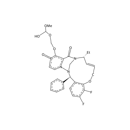 CC[C@@H]1/C=C/COc2c(ccc(F)c2F)[C@@H](c2ccccc2)N2CN1C(=O)c1c(OCOC(O)OC)c(=O)ccn12